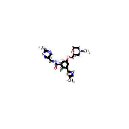 Cc1cnc(-c2cc(OCC3CN(C)CCO3)cc(C(=O)NCc3cnc(C(F)(F)F)nc3)c2F)s1